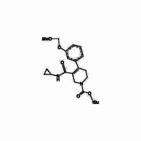 COCOc1cccc(C2=C(C(=O)NC3CC3)CN(C(=O)OC(C)(C)C)CC2)c1